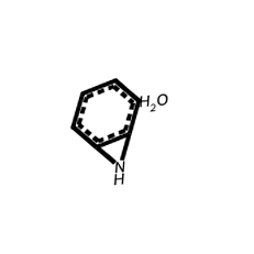 O.c1ccc2c(c1)N2